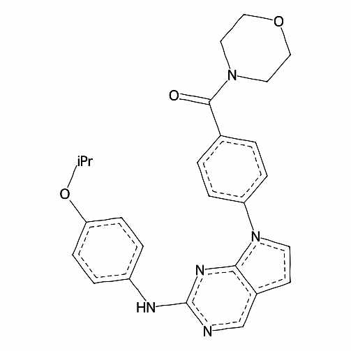 CC(C)Oc1ccc(Nc2ncc3ccn(-c4ccc(C(=O)N5CCOCC5)cc4)c3n2)cc1